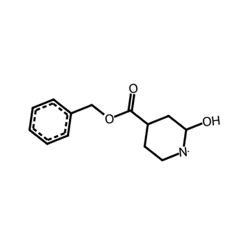 O=C(OCc1ccccc1)C1CC[N]C(O)C1